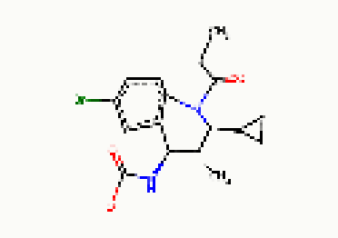 CCC(=O)N1c2ccc(Br)cc2[C@H](NC(=O)O)[C@@H](C)[C@@H]1C1CC1